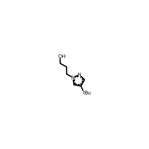 CC(C)(C)c1cnn(CCCO)c1